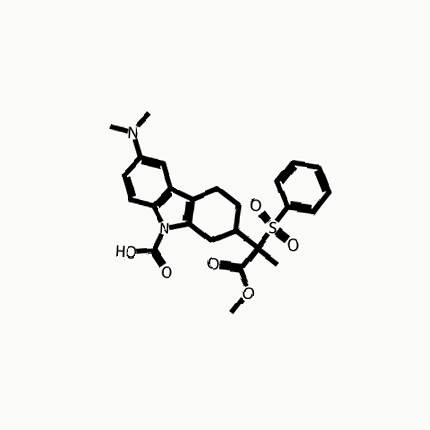 COC(=O)C(C)(C1CCc2c(n(C(=O)O)c3ccc(N(C)C)cc23)C1)S(=O)(=O)c1ccccc1